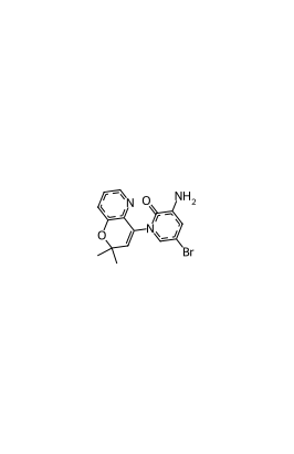 CC1(C)C=C(n2cc(Br)cc(N)c2=O)c2ncccc2O1